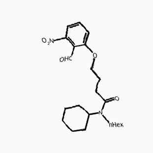 CCCCCCN(C(=O)CCCOc1cccc([N+](=O)[O-])c1C=O)C1CCCCC1